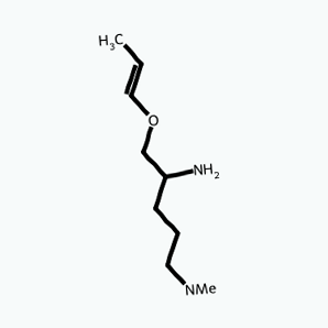 CC=COCC(N)CCCNC